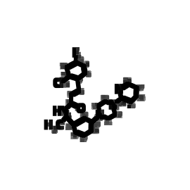 CC(NC(=O)C=Cc1ccc(F)cc1Cl)c1cccc(N2CCN(c3ccccn3)CC2)c1